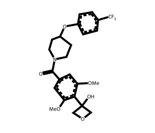 COc1cc(C(=O)N2CCC(Oc3ccc(C(F)(F)F)cc3)CC2)cc(OC)c1C1(O)COC1